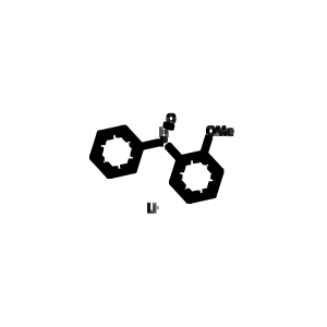 COc1ccccc1[PH](=O)c1ccccc1.[Li]